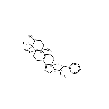 C[C@H](Cc1ccccc1)[C@H]1CC=C2C3=C(CC[C@@]21C)[C@@]1(C)CC[C@H](O)C(C)(C)[C@@H]1CC3